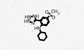 CS(=O)(=O)c1ccc(NC2CCCCC2)c(C2=NNNN2)c1